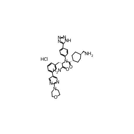 Cl.NC[C@H]1CC[C@H](C(=O)N(c2ccc(-c3nnn[nH]3)cc2)[C@@H](Cc2cccc(-c3cnc(N4CCOCC4)nc3)c2)C(N)=O)CC1